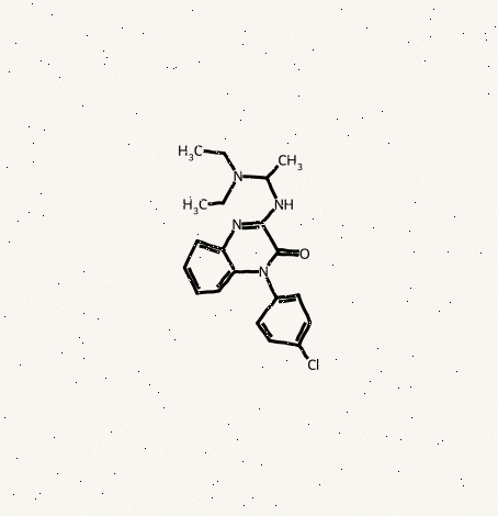 CCN(CC)C(C)Nc1nc2ccccc2n(-c2ccc(Cl)cc2)c1=O